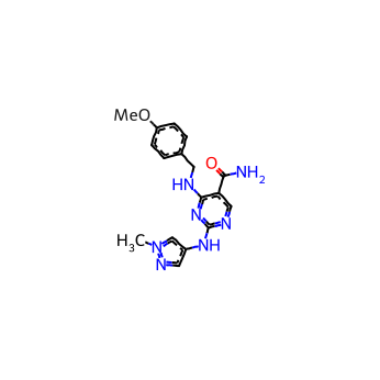 COc1ccc(CNc2nc(Nc3cnn(C)c3)ncc2C(N)=O)cc1